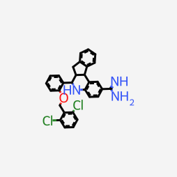 N=C(N)c1ccc2c(c1)C1c3ccccc3CC1C(c1ccccc1OCc1c(Cl)cccc1Cl)N2